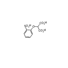 O=C(O)C(Oc1ccccc1S(=O)(=O)O)C(=O)O